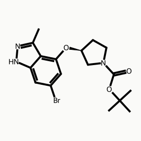 Cc1n[nH]c2cc(Br)cc(O[C@H]3CCN(C(=O)OC(C)(C)C)C3)c12